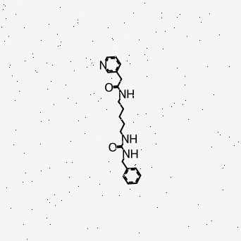 O=C(Cc1cccnc1)NCCCCCNC(=O)NCc1ccccc1